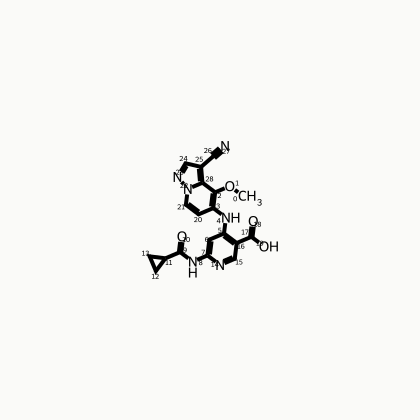 COc1c(Nc2cc(NC(=O)C3CC3)ncc2C(=O)O)ccn2ncc(C#N)c12